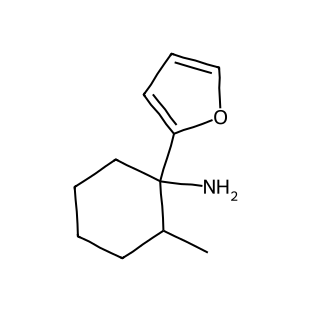 CC1CCCCC1(N)c1ccco1